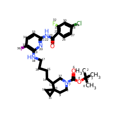 CC(C)(C)OC(=O)N1CCC2(CC2)C(CCCCNc2nc(NC(=O)c3ccc(Cl)cc3F)ccc2I)C1